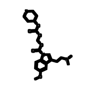 COc1ccc2c(c1)c(CCN(C)C)cn2C(=O)OCOC(=O)OC1CCSCC1